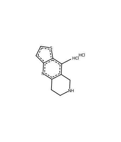 Cc1c2c(nc3ccsc13)CCNC2.Cl.Cl